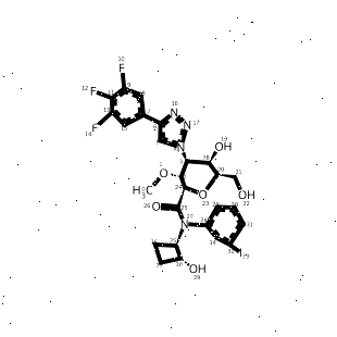 CO[C@@H]1[C@@H](n2cc(-c3cc(F)c(F)c(F)c3)nn2)[C@@H](O)[C@@H](CO)O[C@H]1C(=O)N(c1cccc(I)c1)[C@@H]1CC[C@H]1O